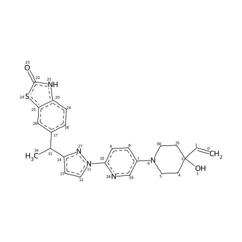 C=CC1(O)CCN(c2ccc(-n3ccc(C(C)c4ccc5[nH]c(=O)sc5c4)n3)nc2)CC1